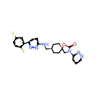 O=C1O[C@]2(CC[C@H](CNc3ccc(-c4cc(F)ccc4F)nn3)CC2)CN1c1cccnn1